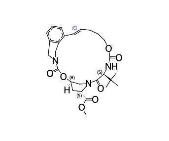 COC(=O)[C@@H]1C[C@@H]2CN1C(=O)[C@H](C(C)(C)C)NC(=O)OCCC/C=C/c1cccc3c1CN(C3)C(=O)O2